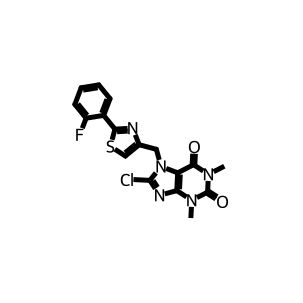 Cn1c(=O)c2c(nc(Cl)n2Cc2csc(-c3ccccc3F)n2)n(C)c1=O